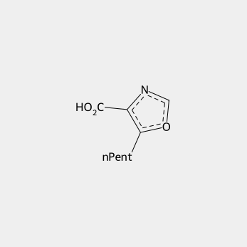 CCCCCc1ocnc1C(=O)O